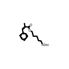 CCCCCCCCCCCCCCCOC(=O)C(C)=Cc1ccccc1